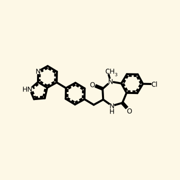 CN1C(=O)C(Cc2ccc(-c3ccnc4[nH]ccc34)cc2)NC(=O)c2cc(Cl)ccc21